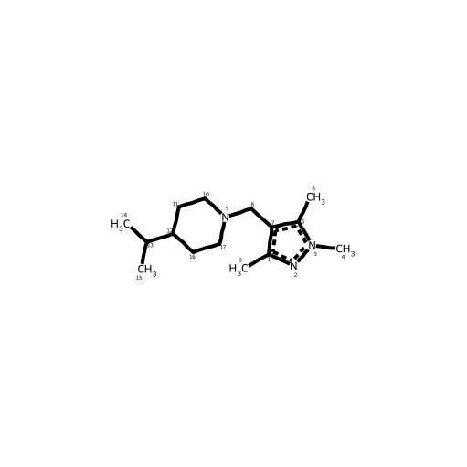 Cc1nn(C)c(C)c1CN1CCC(C(C)C)CC1